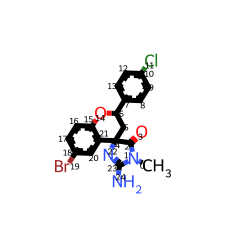 CN1C(=O)C2(CC(c3ccc(Cl)cc3)Oc3ccc(Br)cc32)N=C1N